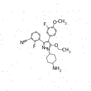 CCOc1c(-c2ccc(OC)c(F)c2)c(-c2cccc(C#N)c2F)nn1C1CCC(N)CC1